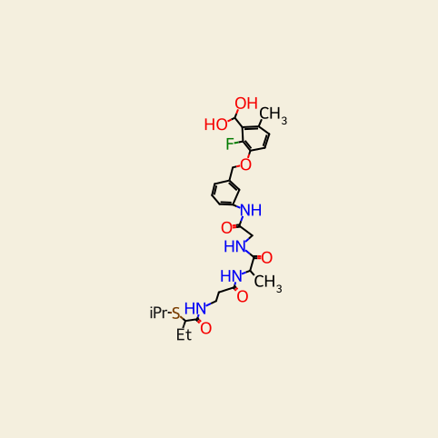 CCC(SC(C)C)C(=O)NCCC(=O)NC(C)C(=O)NCC(=O)Nc1cccc(COc2ccc(C)c(C(O)O)c2F)c1